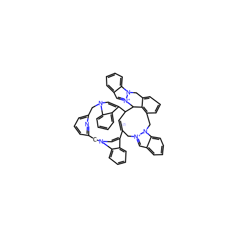 C1=C2\C[n+]3cc4ccccc4n3Cc3cccc4c3C(C/1c1cn(c3ccccc13)Cc1cccc(n1)Cn1cc2c2ccccc21)[n+]1cc2ccccc2n1C4